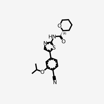 CC(C)Oc1cc(-c2cnc(NC(=O)[C@H]3CCCCO3)s2)ccc1C#N